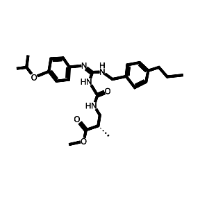 CCCc1ccc(CN/C(=N/c2ccc(OC(C)C)cc2)NC(=O)NC[C@H](C)C(=O)OC)cc1